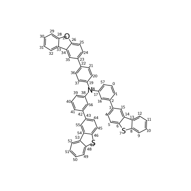 c1cc(-c2ccc3sc4ccccc4c3c2)cc(N(c2ccc(-c3ccc4oc5ccccc5c4c3)cc2)c2cccc(-c3ccc4sc5ccccc5c4c3)c2)c1